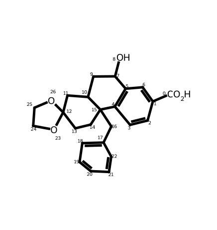 O=C(O)c1ccc2c(c1)C(O)CC1CC3(CCC21Cc1ccccc1)OCCO3